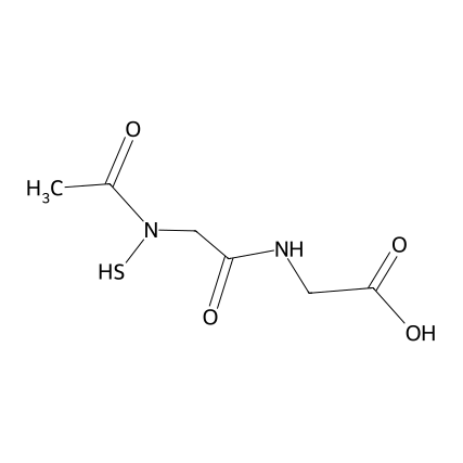 CC(=O)N(S)CC(=O)NCC(=O)O